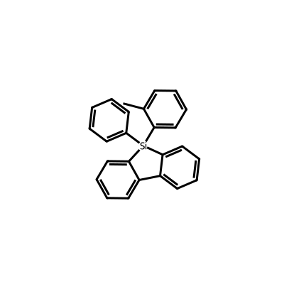 Cc1ccccc1[Si]1(c2ccccc2)c2ccccc2-c2ccccc21